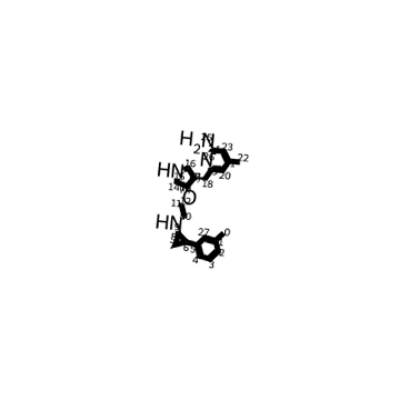 Cc1cccc(C2CC2NCCO[C@H]2CNC[C@H]2Cc2cc(C)cc(N)n2)c1